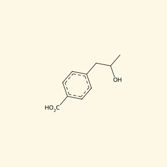 CC(O)Cc1ccc(C(=O)O)cc1